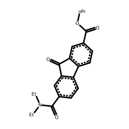 CCCOC(=O)c1ccc2c(c1)C(=O)c1cc(C(=O)N(CC)CC)ccc1-2